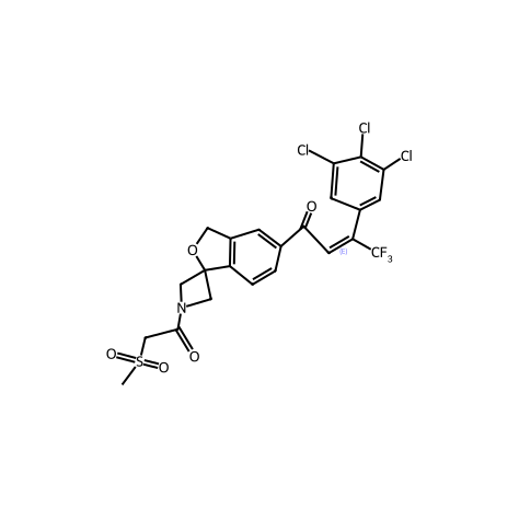 CS(=O)(=O)CC(=O)N1CC2(C1)OCc1cc(C(=O)/C=C(\c3cc(Cl)c(Cl)c(Cl)c3)C(F)(F)F)ccc12